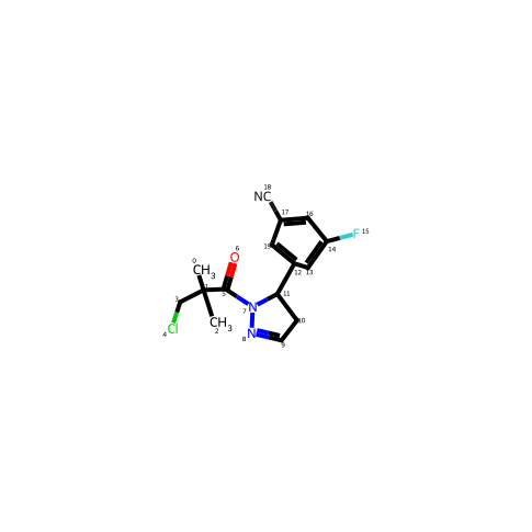 CC(C)(CCl)C(=O)N1N=CCC1c1cc(F)cc(C#N)c1